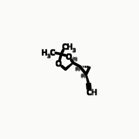 C#C[C@@H]1C[C@H]1[C@H]1COC(C)(C)O1